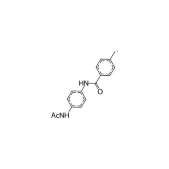 [CH2]c1ccc(C(=O)Nc2ccc(NC(C)=O)cc2)cc1